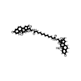 CC1CC2C3CCC4=CC(=O)C=CC4(C)C3(Cl)C(O)CC2(C)C1(O)C(=O)CNC(=O)CCCCCCCCCCC(=O)NCC(=O)C1(O)C(C)CC2C3CCC4=CC(=O)C=CC4(C)C3(Cl)C(O)CC21C